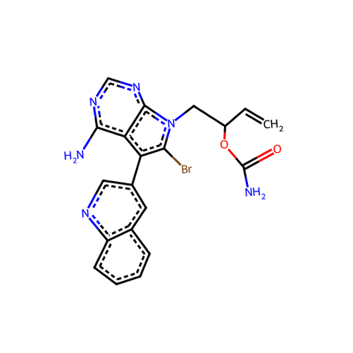 C=CC(Cn1c(Br)c(-c2cnc3ccccc3c2)c2c(N)ncnc21)OC(N)=O